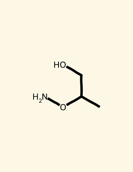 CC(CO)ON